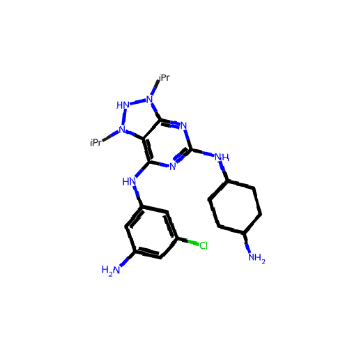 CC(C)N1NN(C(C)C)c2c(Nc3cc(N)cc(Cl)c3)nc(NC3CCC(N)CC3)nc21